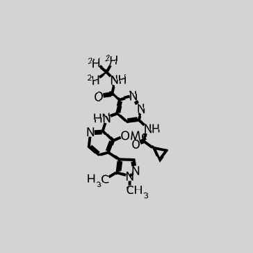 [2H]C([2H])([2H])NC(=O)c1nnc(NC(=O)C2CC2)cc1Nc1nccc(-c2cnn(C)c2C)c1OC